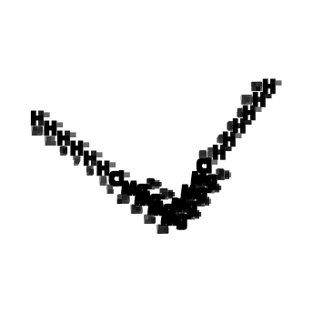 [Cl-].[Cl-].[H-].[H-].[H-].[H-].[H-].[H-].[H-].[H-].[H-].[H-].[H-].[H-].[Mg+2].[Mg+2].[Mg+2].[Mg+2].[Mg+2].[Mg+2].[Mg+2]